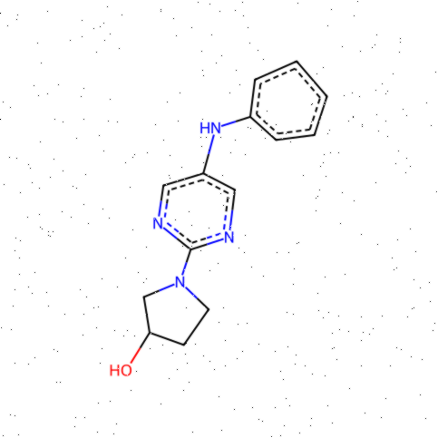 OC1CCN(c2ncc(Nc3ccccc3)cn2)C1